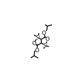 CC(C)COC(=O)C(C(C(=O)OCC(C)C)[Si](C)(C)C)[Si](C)(C)C